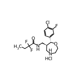 CCC(F)(F)C(=O)NC[C@@H]1CNCCO[C@H]1c1ccc(Cl)c(F)c1.Cl